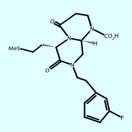 CSCC[C@H]1C(=O)N(CCc2cccc(F)c2)C[C@@H]2N(C(=O)O)CCC(=O)N21